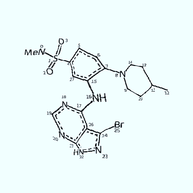 CNS(=O)(=O)c1ccc(N2CCC(C)CC2)c(Nc2ncnc3[nH]nc(Br)c23)c1